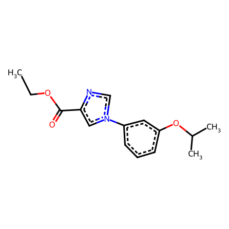 CCOC(=O)c1cn(-c2cccc(OC(C)C)c2)cn1